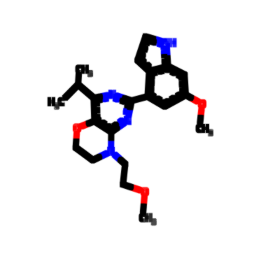 COCCN1CCOc2c(C(C)C)nc(-c3cc(OC)cc4[nH]ccc34)nc21